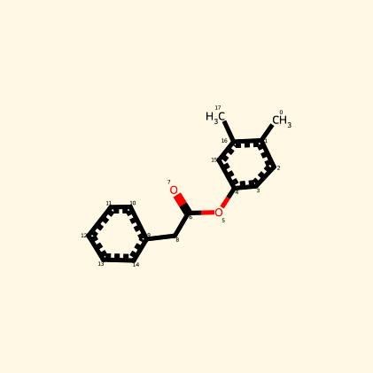 Cc1ccc(OC(=O)Cc2ccccc2)cc1C